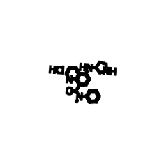 CN(C(=O)c1ccc(NC2CCNC2)c2cccnc12)c1ccccc1.Cl